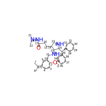 COc1ccc(C(C)C)cc1CNC1C(CCC(=O)NN(C)C)CNC1C(c1ccccc1)c1ccccc1